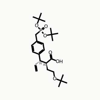 C=C[C@H](c1ccc(CP(=O)(OC(C)(C)C)OC(C)(C)C)cc1)[C@H](CCOC(C)(C)C)C(=O)O